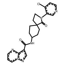 O=C(NC1CCC2(CC1)CCN(c1cnccc1Cl)C2=O)c1cnn2cccnc12